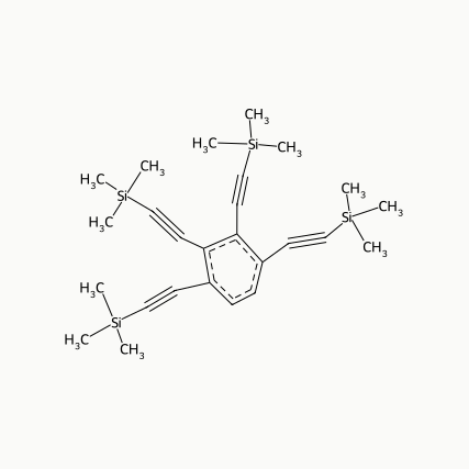 C[Si](C)(C)C#Cc1ccc(C#C[Si](C)(C)C)c(C#C[Si](C)(C)C)c1C#C[Si](C)(C)C